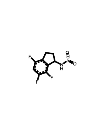 O=[SH](=O)NC1CCc2c(F)cc(F)c(F)c21